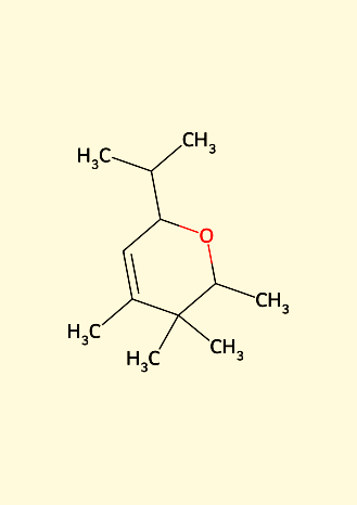 CC1=CC(C(C)C)OC(C)C1(C)C